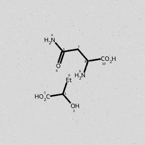 CCC(O)C(=O)O.NC(=O)CC(N)C(=O)O